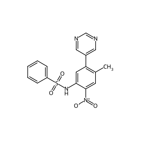 Cc1cc([N+](=O)[O-])c(NS(=O)(=O)c2ccccc2)cc1-c1cncnc1